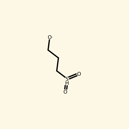 [O]CCC[SH](=O)=O